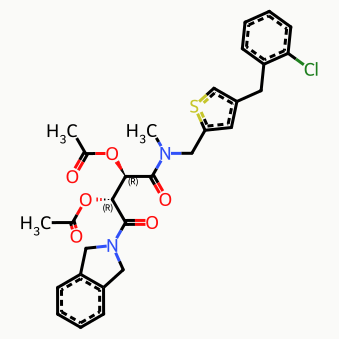 CC(=O)O[C@@H](C(=O)N(C)Cc1cc(Cc2ccccc2Cl)cs1)[C@@H](OC(C)=O)C(=O)N1Cc2ccccc2C1